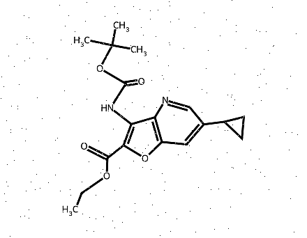 CCOC(=O)c1oc2cc(C3CC3)cnc2c1NC(=O)OC(C)(C)C